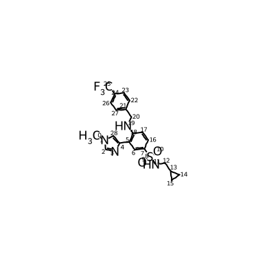 Cn1cnc(-c2cc(S(=O)(=O)NCC3CC3)ccc2NCc2ccc(C(F)(F)F)cc2)c1